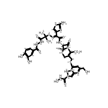 CC(C)(ON=C(C(=O)N[C@@H]1C(=O)N2C(C(=O)O)=C(CSC3=CC(CO)=NC4=CN(C(=O)NO)NN43)CS[C@H]12)c1csc(N)n1)C(=O)NNC(=O)c1ccc(O)c(O)c1